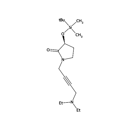 CCN(CC)CC#CCN1CC[C@H](O[Si](C)(C)C(C)(C)C)C1=O